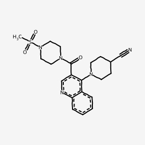 CS(=O)(=O)N1CCN(C(=O)c2cnc3ccccc3c2N2CCC(C#N)CC2)CC1